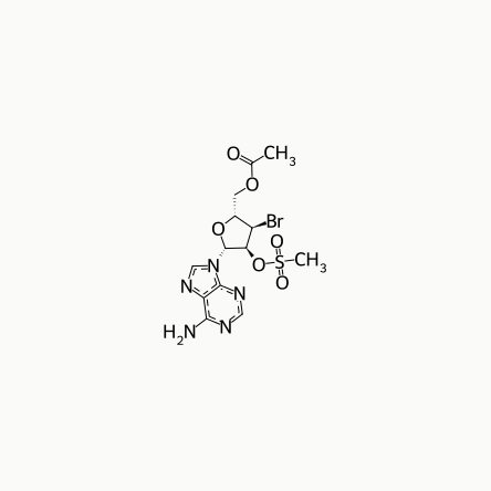 CC(=O)OC[C@H]1O[C@@H](n2cnc3c(N)ncnc32)[C@H](OS(C)(=O)=O)[C@@H]1Br